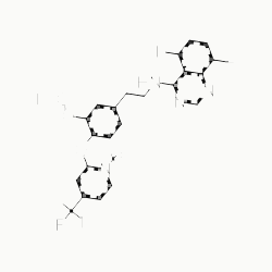 COc1cc(CCNc2ncnc3c(F)ccc(F)c23)ccc1Oc1cc(C(F)(F)F)cc[n+]1[O-]